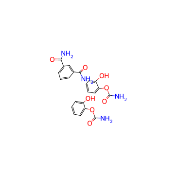 NC(=O)Oc1ccccc1O.NC(=O)Oc1ccccc1O.NC(=O)c1cccc(C(N)=O)c1